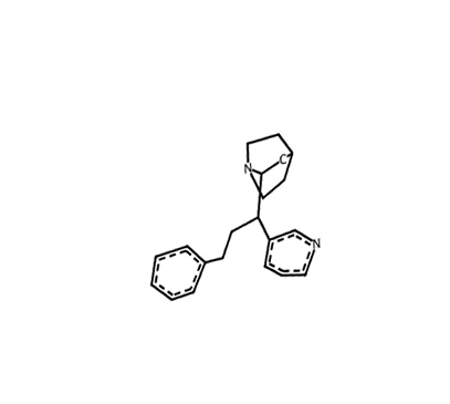 c1ccc(CCC(c2cccnc2)C2CC3CCN2CC3)cc1